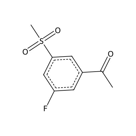 CC(=O)c1cc(F)cc(S(C)(=O)=O)c1